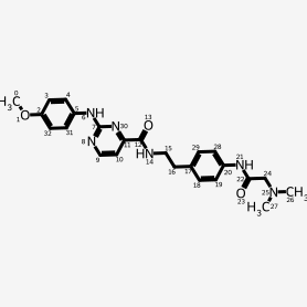 COc1ccc(Nc2nccc(C(=O)NCCc3ccc(NC(=O)CN(C)C)cc3)n2)cc1